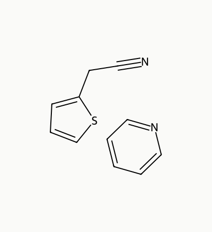 N#CCc1cccs1.c1ccncc1